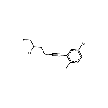 C=CC(O)CCC#Cc1cc(Br)ccc1C